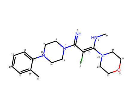 CN/C(=C(/F)C(=N)N1CCN(c2ccccc2C)CC1)N1CCOCC1